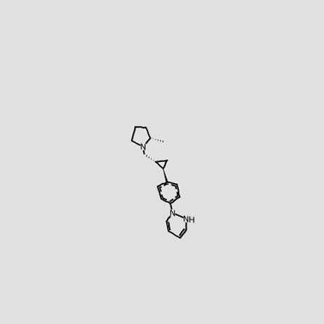 C[C@H]1CCCN1C[C@@H]1C[C@H]1c1ccc(N2C=CC=CN2)cc1